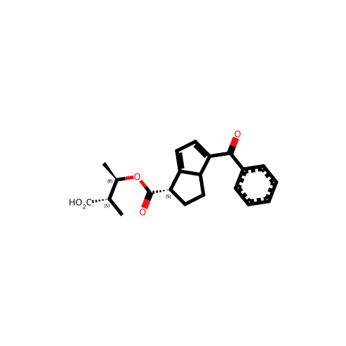 C[C@H](C(=O)O)[C@@H](C)OC(=O)[C@H]1CCC2C(C(=O)c3ccccc3)=CC=C21